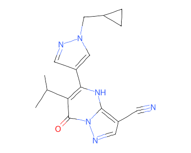 CC(C)c1c(-c2cnn(CC3CC3)c2)[nH]c2c(C#N)cnn2c1=O